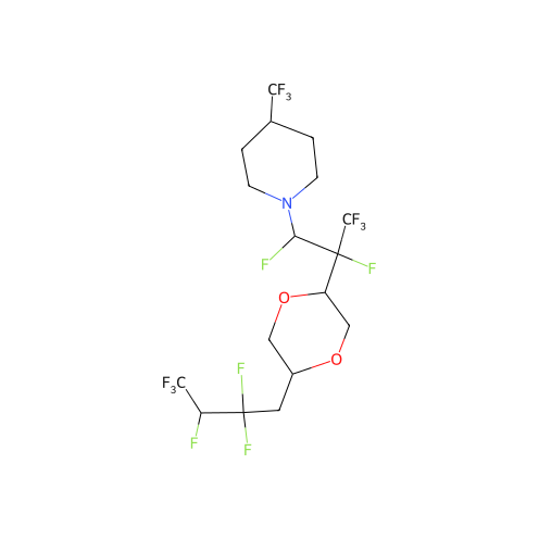 FC(C(F)(F)F)C(F)(F)CC1COC(C(F)(C(F)N2CCC(C(F)(F)F)CC2)C(F)(F)F)CO1